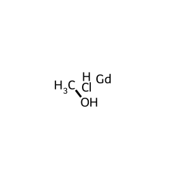 CO.Cl.[Gd]